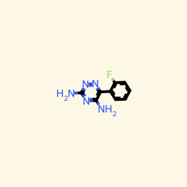 Nc1nnc(-c2ccccc2F)c(N)n1